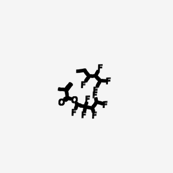 C=C(C)C(=O)OC(F)C(F)(F)C(F)C(F)F.CCC(F)C(F)C(F)F